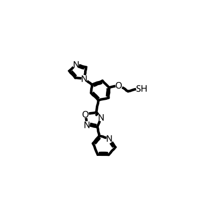 SCOc1cc(-c2nc(-c3ccccn3)no2)cc(-n2ccnc2)c1